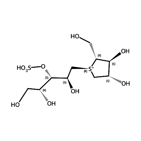 O=S(=O)(O)O[C@@H]([C@H](O)CO)[C@H](O)C[S@+]1C[C@@H](O)[C@H](O)[C@H]1CO